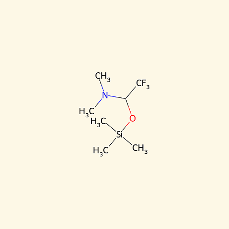 CN(C)C(O[Si](C)(C)C)C(F)(F)F